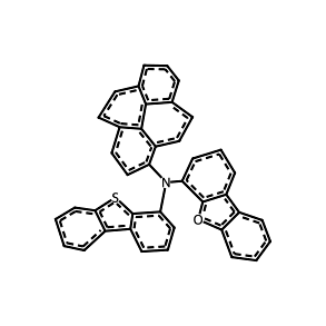 c1cc2ccc3ccc(N(c4cccc5c4oc4ccccc45)c4cccc5c4sc4ccccc45)c4ccc(c1)c2c34